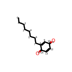 CCCCCCCCC1=CC(=O)C=CC1=O